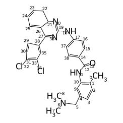 Cc1ccc(CN(C)C)cc1NC(=O)c1ccc(NC2=NC3CC=CC=C3C(c3ccc(Cl)c(Cl)c3)=N2)cc1